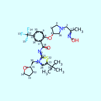 CC(CN1CC[C@H](Oc2ccc(C(F)(F)F)cc2C(=O)N=c2sc(C(C)(C)C)cn2C[C@H]2CCCO2)C1)=NO